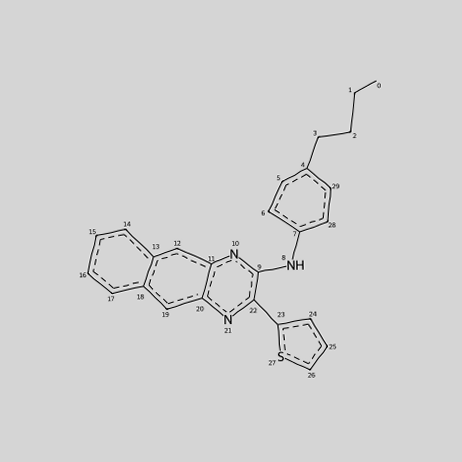 CCCCc1ccc(Nc2nc3cc4ccccc4cc3nc2-c2cccs2)cc1